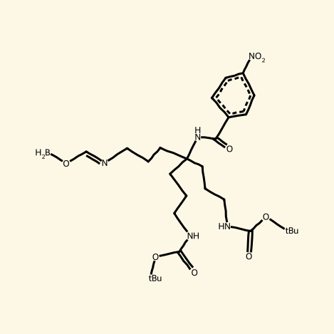 BOC=NCCCC(CCCNC(=O)OC(C)(C)C)(CCCNC(=O)OC(C)(C)C)NC(=O)c1ccc([N+](=O)[O-])cc1